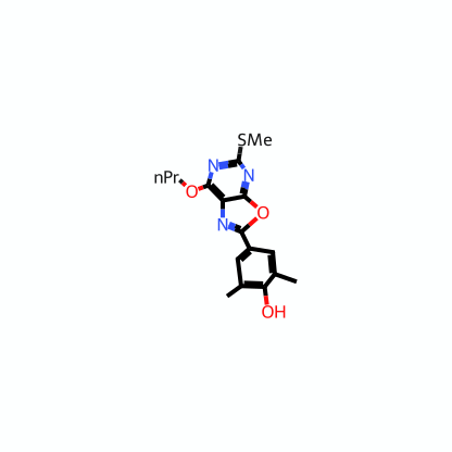 CCCOc1nc(SC)nc2oc(-c3cc(C)c(O)c(C)c3)nc12